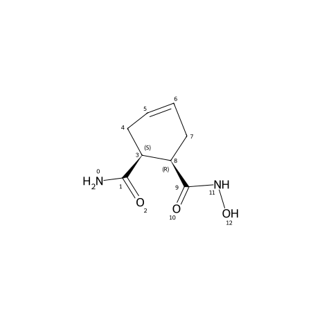 NC(=O)[C@H]1CC=CC[C@H]1C(=O)NO